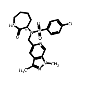 Cc1nn(C)c2cnc(CN([C@@H]3CCCCNC3=O)S(=O)(=O)c3ccc(Cl)cc3)cc12